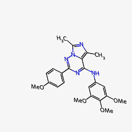 COc1ccc(-c2nc(Nc3cc(OC)c(OC)c(OC)c3)c3c(C)nc(C)n3n2)cc1